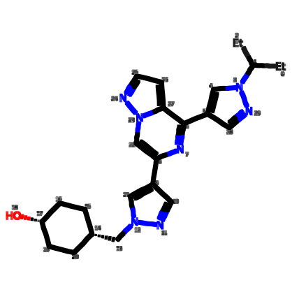 CCC(CC)n1cc(-c2nc(-c3cnn(C[C@H]4CC[C@@H](O)CC4)c3)cn3nccc23)cn1